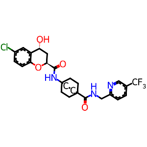 O=C(NC12CCC(C(=O)NCc3ccc(C(F)(F)F)cn3)(CC1)CC2)[C@@H]1C[C@@H](O)c2cc(Cl)ccc2O1